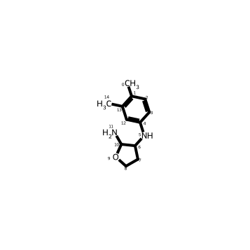 Cc1ccc(NC2CCO[C]2N)cc1C